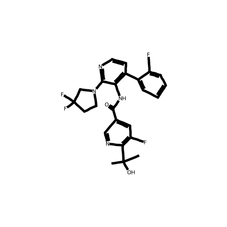 CC(C)(O)c1ncc(C(=O)Nc2c(-c3ccccc3F)ccnc2N2CCC(F)(F)C2)cc1F